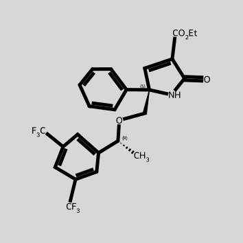 CCOC(=O)C1=C[C@@](CO[C@H](C)c2cc(C(F)(F)F)cc(C(F)(F)F)c2)(c2ccccc2)NC1=O